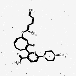 C=C/C=C\C=C(/C)OC1=C/C(F)=C(/c2nc(N3CCN(C)CC3)ccc2C(N)=O)CC/C=C\1